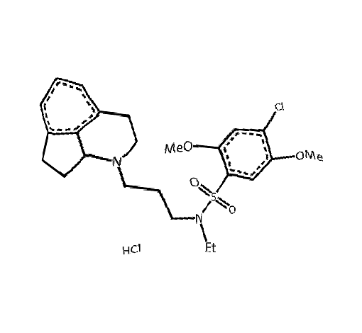 CCN(CCCN1CCc2cccc3c2C1CC3)S(=O)(=O)c1cc(OC)c(Cl)cc1OC.Cl